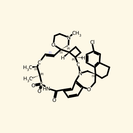 C[C@@H]1[C@@H](C)C/C=C/[C@]2(CN(C)CCO2)[C@@H]2CC[C@H]2CN2C[C@@]3(CCCc4cc(Cl)ccc43)COc3ccc(cc32)C(=O)NS1(=O)=O